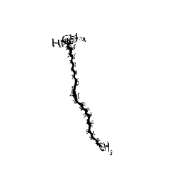 CCCCCCCCCCCCCCCCCCCCCCCCCCC(=O)NC